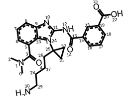 CN(C)C(=O)c1cccc2nc(NC(=O)c3cccc(C(=O)O)c3)n(C3(CCCCN)CC3)c12